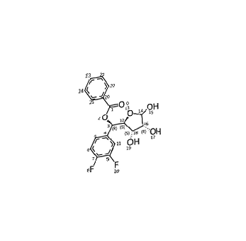 O=C(O[C@H](c1ccc(F)c(F)c1)[C@H]1OC(O)[C@H](O)[C@@H]1O)c1ccccc1